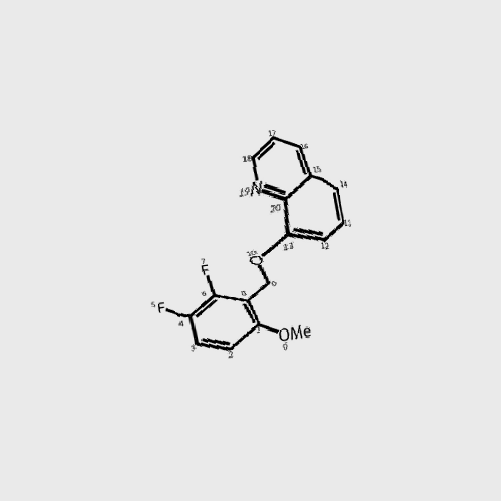 COc1ccc(F)c(F)c1COc1cccc2cccnc12